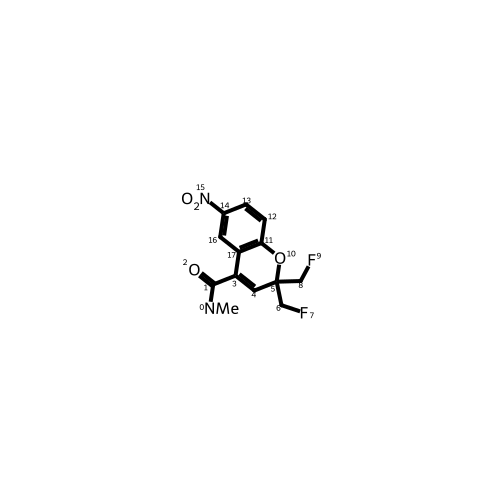 CNC(=O)C1=CC(CF)(CF)Oc2ccc([N+](=O)[O-])cc21